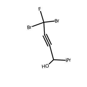 CC(C)C(O)C#CC(F)(Br)Br